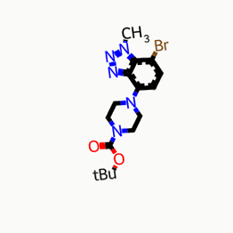 Cn1nnc2c(N3CCN(C(=O)OC(C)(C)C)CC3)ccc(Br)c21